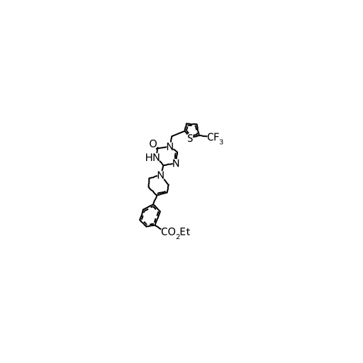 CCOC(=O)c1cccc(C2=CCN(C3N=CN(Cc4ccc(C(F)(F)F)s4)C(=O)N3)CC2)c1